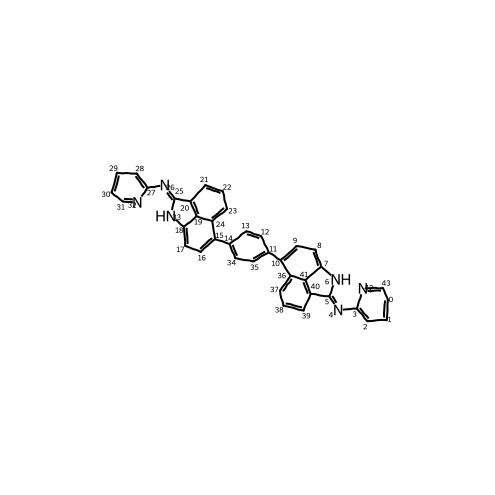 c1ccc(/N=C2\Nc3ccc(-c4ccc(-c5ccc6c7c(cccc57)/C(=N/c5ccccn5)N6)cc4)c4cccc2c34)nc1